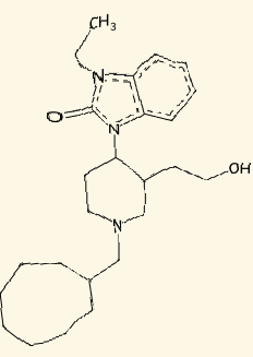 CCn1c(=O)n(C2CCN(CC3CCCCCCC3)CC2CCO)c2ccccc21